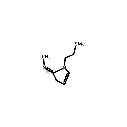 C/N=C1/CC=CN1CCSC